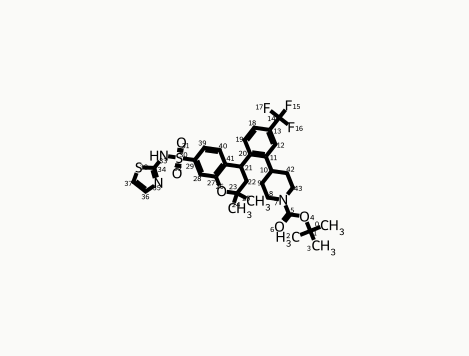 CC(C)(C)OC(=O)N1CCC(c2cc(C(F)(F)F)ccc2C2CC(C)(C)Oc3cc(S(=O)(=O)Nc4nccs4)ccc32)CC1